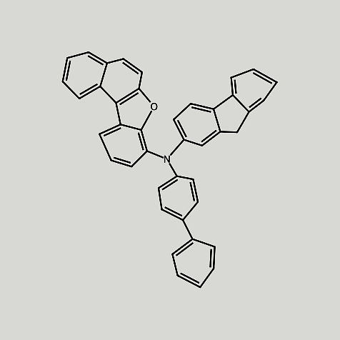 c1ccc(-c2ccc(N(c3ccc4c(c3)Cc3ccccc3-4)c3cccc4c3oc3ccc5ccccc5c34)cc2)cc1